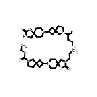 CCCC(=O)N1CCC2(CC(N3CCC4(CC3)CNC(=O)O4)C2)C1.CCCN1CC2(CCN(C3CC4(CCN(C(=O)OCC)C4)C3)CC2)OC1=O